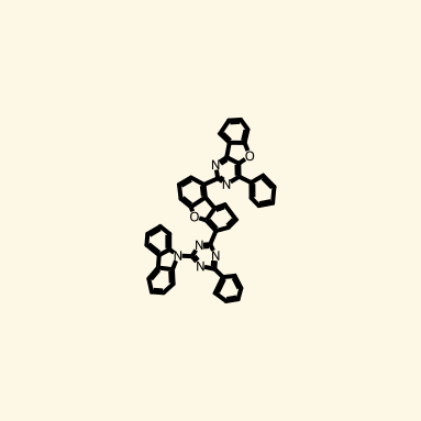 c1ccc(-c2nc(-c3cccc4c3oc3cccc(-c5nc(-c6ccccc6)c6oc7ccccc7c6n5)c34)nc(-n3c4ccccc4c4ccccc43)n2)cc1